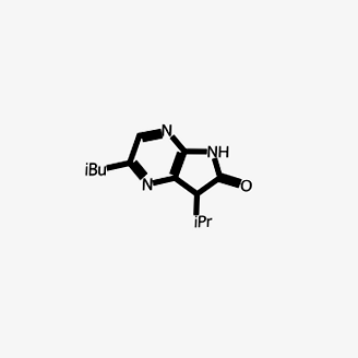 CCC(C)c1cnc2c(n1)C(C(C)C)C(=O)N2